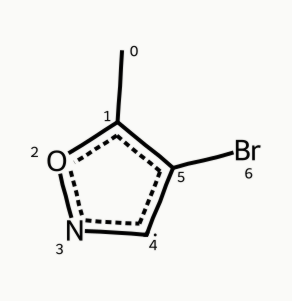 Cc1on[c]c1Br